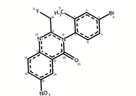 Cc1cc(Br)ccc1-n1c(CF)nc2ccc([N+](=O)[O-])cc2c1=O